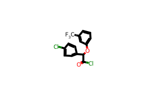 O=C(Cl)C(Oc1cccc(C(F)(F)F)c1)c1ccc(Cl)cc1